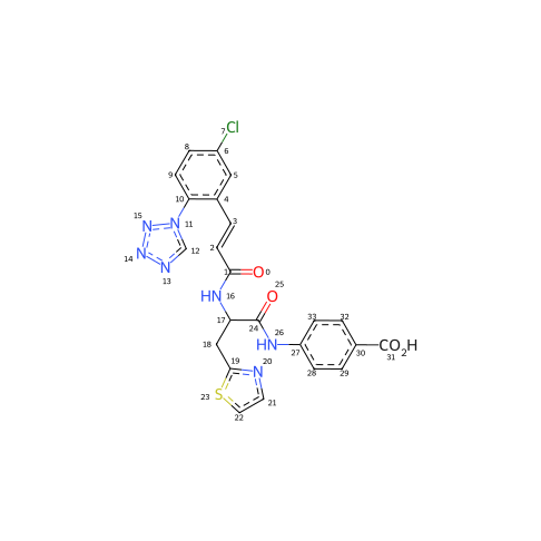 O=C(/C=C/c1cc(Cl)ccc1-n1cnnn1)NC(Cc1nccs1)C(=O)Nc1ccc(C(=O)O)cc1